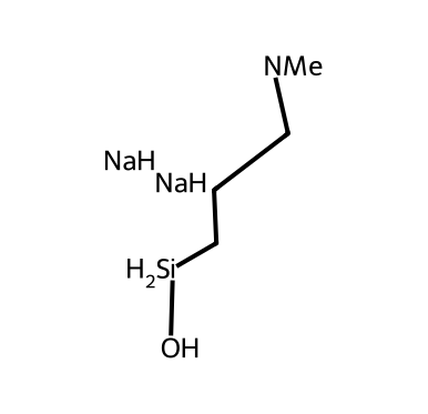 CNCCC[SiH2]O.[NaH].[NaH]